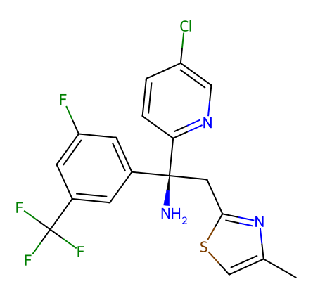 Cc1csc(C[C@](N)(c2cc(F)cc(C(F)(F)F)c2)c2ccc(Cl)cn2)n1